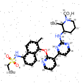 Cc1ccc2c(NS(=O)(=O)CC(C)(C)C)cccc2c1Oc1ncccc1-c1ccnc(NC2CCCN(C(=O)O)C2C(C)(C)C)n1